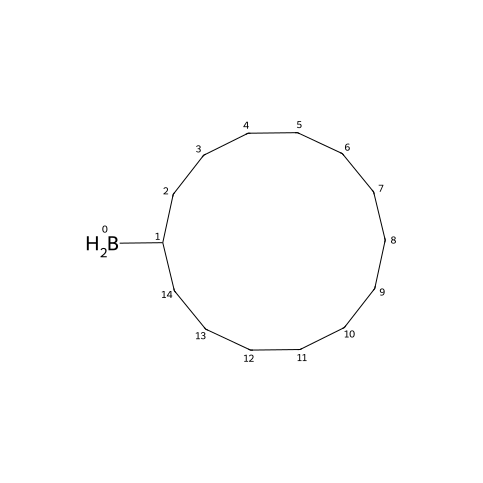 BC1CCCCCCCCCCCCC1